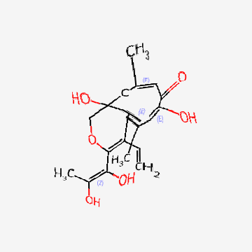 C=CC1=C(C(/O)=C(\C)O)OCC2(O)C/C(C)=C/C(=O)/C(O)=C\C(C)=C/12